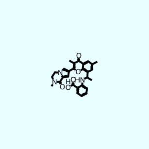 Cc1cc(C(C)Nc2ccccc2C(=O)O)c2oc(-c3cc4n(c3)CCN(C)C4=O)c(C)c(=O)c2c1